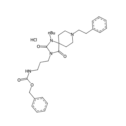 CCCCN1C(=O)N(CCCNC(=O)OCc2ccccc2)C(=O)C12CCN(CCc1ccccc1)CC2.Cl